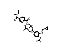 CCN(C)C(=O)c1ccc(C(=O)OC[C@H]2C[C@@H](c3ccc(OC(F)F)c(OCC4CC4)c3)CN2C(C)=O)nc1